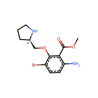 COC(=O)c1c(N)ccc(Br)c1OC[C@H]1CCCN1